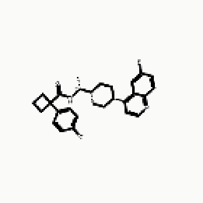 C[C@@H](NC(=O)C1(c2ccc(Cl)cc2)CCC1)[C@H]1CC[C@H](c2ccnc3ccc(F)cc32)CC1